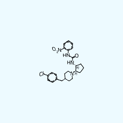 O=C(Nc1ccccc1[N+](=O)[O-])N[C@@H]1CCC[C@H]1N1CCC(Cc2ccc(Cl)cc2)CC1